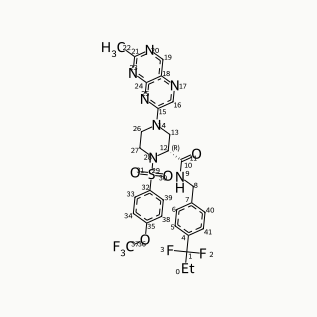 CCC(F)(F)c1ccc(CNC(=O)[C@H]2CN(c3cnc4cnc(C)nc4n3)CCN2S(=O)(=O)c2ccc(OC(F)(F)F)cc2)cc1